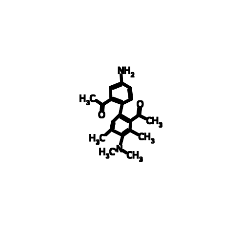 CC(=O)c1cc(N)ccc1-c1cc(C)c(N(C)C)c(C)c1C(C)=O